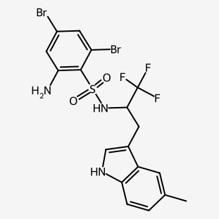 Cc1ccc2[nH]cc(CC(NS(=O)(=O)c3c(N)cc(Br)cc3Br)C(F)(F)F)c2c1